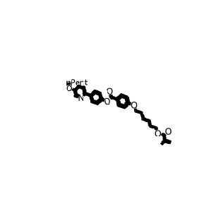 C=C(C)C(=O)OCCCCCCOc1ccc(C(=O)Oc2ccc(-c3ccc(OCCCCC)cn3)cc2)cc1